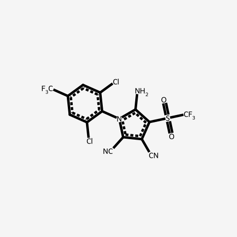 N#Cc1c(S(=O)(=O)C(F)(F)F)c(N)n(-c2c(Cl)cc(C(F)(F)F)cc2Cl)c1C#N